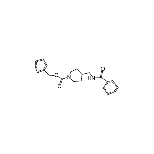 O=C(NCC1CCN(C(=O)OCc2ccccc2)CC1)c1ccccc1